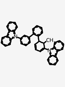 CC1C(n2c3ccccc3c3ccccc32)=CC=CC1c1ccccc1-c1cccc(-n2c3ccccc3c3ccccc32)c1